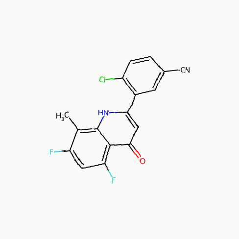 Cc1c(F)cc(F)c2c(=O)cc(-c3cc(C#N)ccc3Cl)[nH]c12